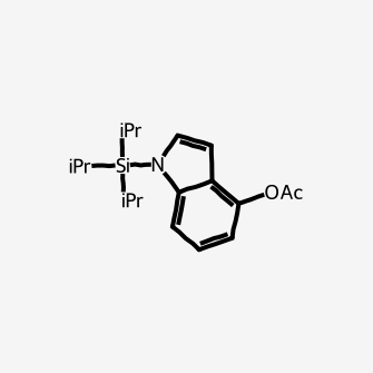 CC(=O)Oc1cccc2c1ccn2[Si](C(C)C)(C(C)C)C(C)C